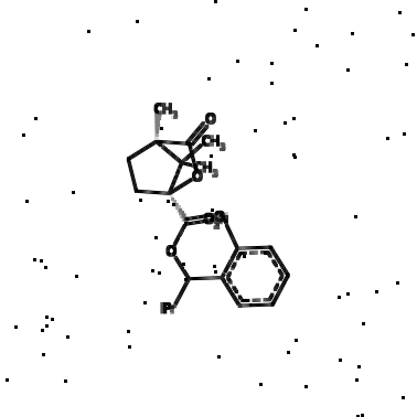 CC(C)C(OC(=O)[C@@]12CC[C@@](C)(C(=O)O1)C2(C)C)c1ccccc1[N+](=O)[O-]